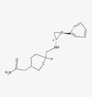 NC(=O)CC1CCC(F)(CN[C@@H]2C[C@H]2c2ccccc2)CC1